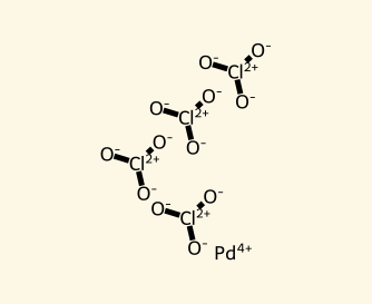 [O-][Cl+2]([O-])[O-].[O-][Cl+2]([O-])[O-].[O-][Cl+2]([O-])[O-].[O-][Cl+2]([O-])[O-].[Pd+4]